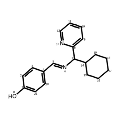 Oc1ccc(C=NC(c2ccccn2)C2CCCCC2)cc1